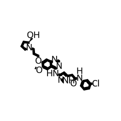 COc1cc2c(Nc3cc(CC(=O)Nc4cccc(Cl)c4)[nH]n3)ncnc2cc1OCCCN1CCC[C@H]1CO